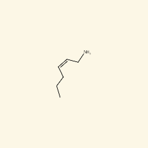 CCC/C=C\CN